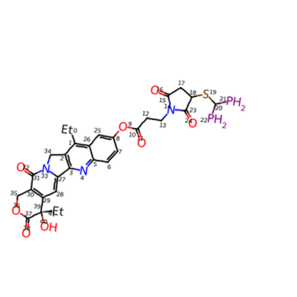 CCc1c2c(nc3ccc(OC(=O)CCN4C(=O)CC(SC(P)P)C4=O)cc13)-c1cc3c(c(=O)n1C2)COC(=O)[C@]3(O)CC